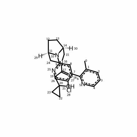 Cc1cccnc1-c1cc(N2[C@@H]3CC[C@H]2CN(C(=O)CC2(O)CC2)C3)ncc1Cl